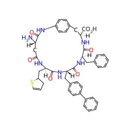 N[C@H]1CC(=O)N[C@H](CC2CC=CS2)C(=O)N[C@@H](Cc2ccc(-c3ccccc3)cc2)C(=O)N[C@H](Cc2ccccc2)C(=O)N[C@H](C(=O)O)Cc2ccc(cc2)NC1=O